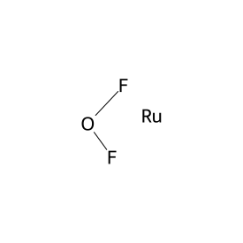 FOF.[Ru]